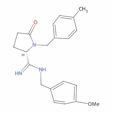 COc1ccc(CNC(=N)[C@@H]2CCC(=O)N2Cc2ccc(C)cc2)cc1